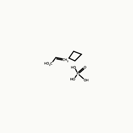 C1CCC1.C=CC(=O)O.O=P(O)(O)O